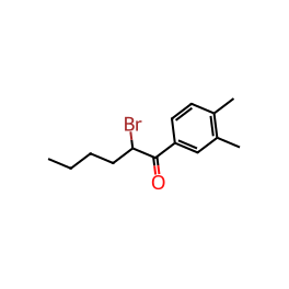 CCCCC(Br)C(=O)c1ccc(C)c(C)c1